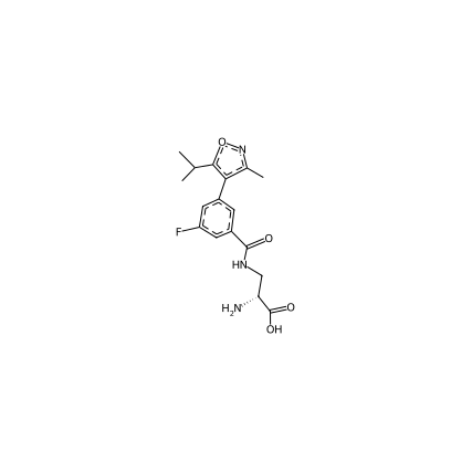 Cc1noc(C(C)C)c1-c1cc(F)cc(C(=O)NC[C@@H](N)C(=O)O)c1